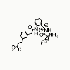 C=C[C@@H]1C[C@]1(N)C(=O)NS(=O)(=O)c1ccccc1NC(=O)Cc1cccc(CCC(=O)OC)c1